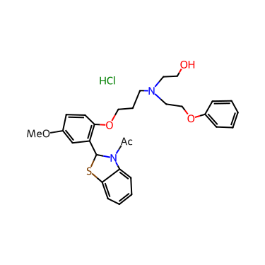 COc1ccc(OCCCN(CCO)CCOc2ccccc2)c(C2Sc3ccccc3N2C(C)=O)c1.Cl